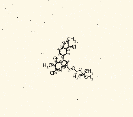 Cn1nc2ccc(-c3cn(COCC[Si](C)(C)C)c4nc(Cl)n(C)c(=O)c34)cc2c1Cl